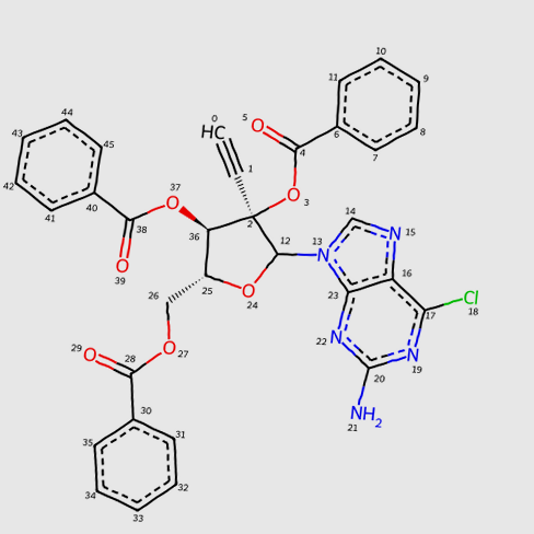 C#C[C@]1(OC(=O)c2ccccc2)C(n2cnc3c(Cl)nc(N)nc32)O[C@H](COC(=O)c2ccccc2)[C@H]1OC(=O)c1ccccc1